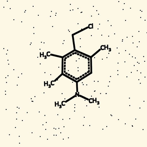 Cc1cc(N(C)C)c(C)c(C)c1CCl